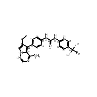 [CH2]Cc1cn2ncnc(N)c2c1-c1ccc(NC(=O)Nc2ccc(C(F)(F)F)cn2)cc1